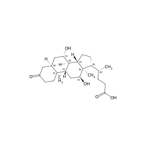 C[C@H](CCC(=O)O)[C@H]1CC[C@H]2[C@@H]3[C@@H](O)C[C@@H]4CC(=O)CC[C@]4(C)[C@H]3C[C@H](O)[C@]12C